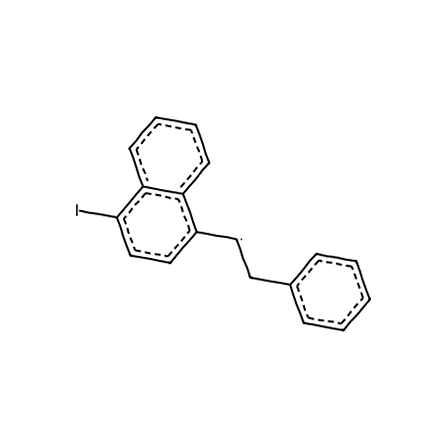 Ic1ccc([CH]Cc2ccccc2)c2ccccc12